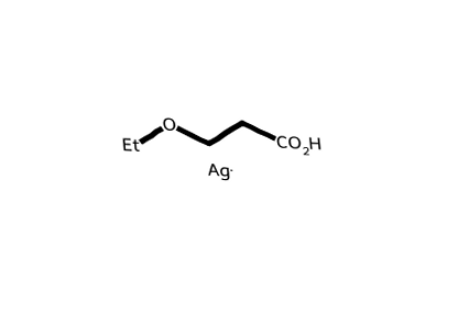 CCOCCC(=O)O.[Ag]